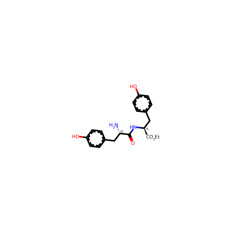 CCOC(=O)[C@H](Cc1ccc(O)cc1)NC(=O)[C@@H](N)Cc1ccc(O)cc1